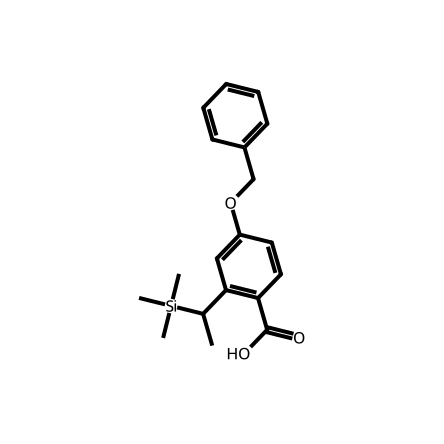 CC(c1cc(OCc2ccccc2)ccc1C(=O)O)[Si](C)(C)C